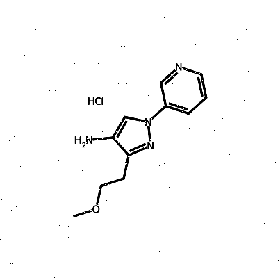 COCCc1nn(-c2cccnc2)cc1N.Cl